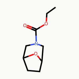 CCOC(=O)N1CC2CCC(C1)O2